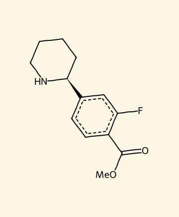 COC(=O)c1ccc([C@@H]2CCCCN2)cc1F